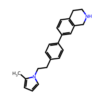 Cc1cccn1CCc1ccc(-c2ccc3c(c2)CNCC3)cc1